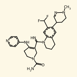 CN1CCC(c2cc3c(cc2C(F)F)N(C(=N)C2=C(Nc4ccncc4)CCN(C(N)=O)C2)CCC3)C=N1